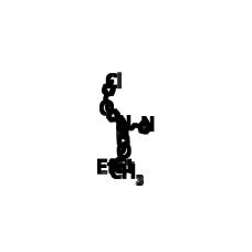 CC[N+](C)(CC)CCCOc1ccc(-n2cc(-c3ccc(OCCc4ccc(Cl)cc4)cc3)nc2CCc2cccnc2)cc1